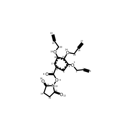 C#CCOc1cc(C(=O)ON2C(=O)CCC2=O)cc(OCC#C)c1OCC#C